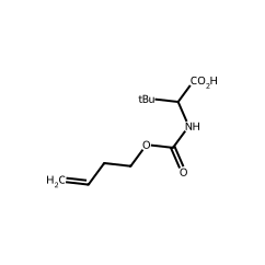 C=CCCOC(=O)NC(C(=O)O)C(C)(C)C